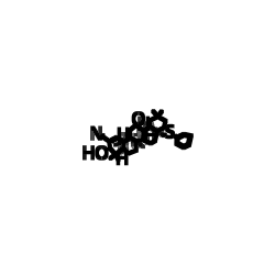 CC1(C)CC[C@]2(CSc3ccccc3)CC[C@]3(C)[C@H](C(=O)C[C@@H]4[C@@]5(C)C=C(C#N)C(O)C(C)(C)[C@@H]5CC[C@]43C)[C@@H]2C1